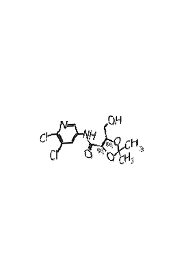 CC1(C)O[C@H](CO)[C@H](C(=O)Nc2cnc(Cl)c(Cl)c2)O1